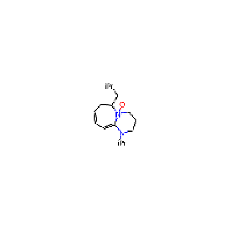 CC(C)CC1CC=CC=C2N(C(C)C)CCC[N+]21[O-]